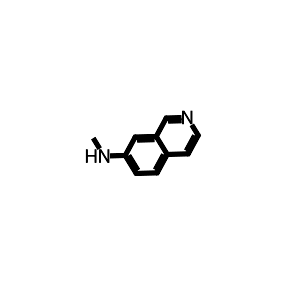 CNc1ccc2ccncc2c1